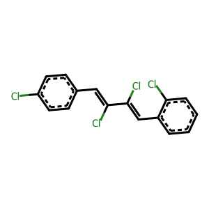 ClC(=Cc1ccc(Cl)cc1)C(Cl)=Cc1ccccc1Cl